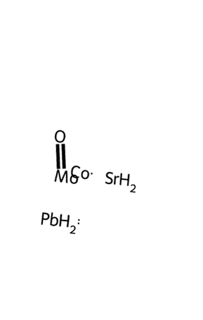 [Co].[O]=[Mo].[PbH2].[SrH2]